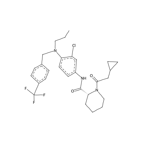 CCCN(Cc1ccc(C(F)(F)F)cc1)c1ccc(NC(=O)[C@H]2CCCCN2C(=O)CC2CC2)cc1Cl